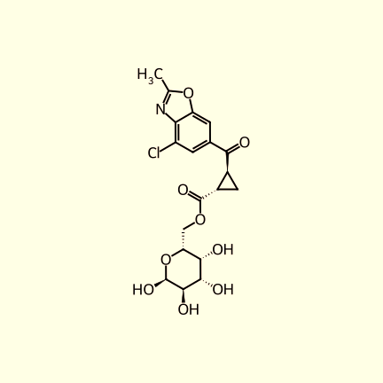 Cc1nc2c(Cl)cc(C(=O)[C@H]3C[C@@H]3C(=O)OC[C@H]3O[C@H](O)[C@H](O)[C@@H](O)[C@H]3O)cc2o1